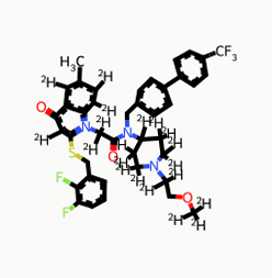 [2H]c1c(C)c([2H])c2c(=O)c([2H])c(SCc3cccc(F)c3F)n(C([2H])([2H])C(=O)N(Cc3ccc(-c4ccc(C(F)(F)F)cc4)cc3)C3([2H])C([2H])([2H])C([2H])([2H])N(C([2H])([2H])COC([2H])([2H])[2H])C([2H])([2H])C3([2H])[2H])c2c1[2H]